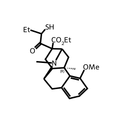 CCOC(=O)C1(C(=O)C(S)CC)CC2C3Cc4cccc(OC)c4[C@]2(C)CC1N3C